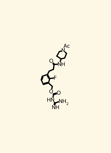 CC(=O)N1CCC(NC(=O)CCc2cccc(COC(=O)NC(=N)N)c2F)CC1